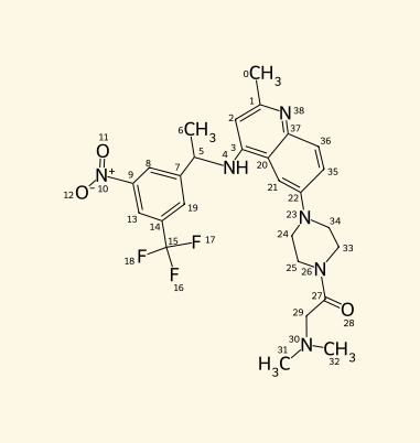 Cc1cc(NC(C)c2cc([N+](=O)[O-])cc(C(F)(F)F)c2)c2cc(N3CCN(C(=O)CN(C)C)CC3)ccc2n1